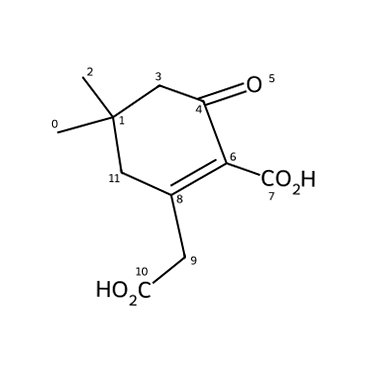 CC1(C)CC(=O)C(C(=O)O)=C(CC(=O)O)C1